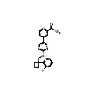 NC(=O)c1cc(-c2cnc(NCC3(c4ncccc4F)CCC3)nc2)ccn1